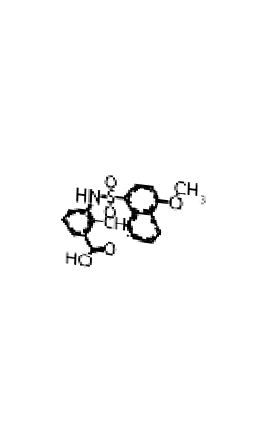 COc1ccc(S(=O)(=O)Nc2cccc(C(=O)O)c2C)c2ccccc12